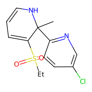 CCS(=O)(=O)C1=CC=CNC1(C)c1ccc(Cl)cn1